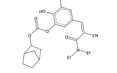 CCN(CC)C(=O)C(C#N)=Cc1cc(OC(=O)OC2CC3CCC2C3)c(O)c([N+](=O)[O-])c1